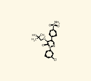 CC(C)(O)COc1c(-c2ccc(S(N)(=O)=O)cc2)cnn(-c2cccc(Cl)c2)c1=O